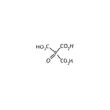 O=C(O)P(=O)(C(=O)O)C(=O)O